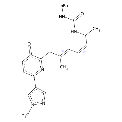 CCCCNC(=O)NC(C)/C=C\C=C(/C)Cc1nn(-c2cnn(C)c2)ccc1=O